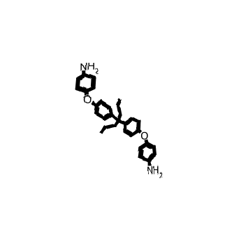 CCCC(CCC)(c1ccc(Oc2ccc(N)cc2)cc1)c1ccc(Oc2ccc(N)cc2)cc1